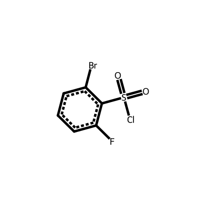 O=S(=O)(Cl)c1c(F)cccc1Br